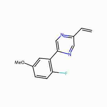 C=Cc1cnc(-c2cc(OC)ccc2F)cn1